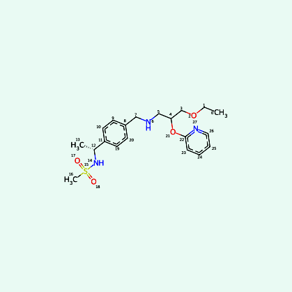 CCOCC(CNCc1ccc([C@@H](C)NS(C)(=O)=O)cc1)Oc1ccccn1